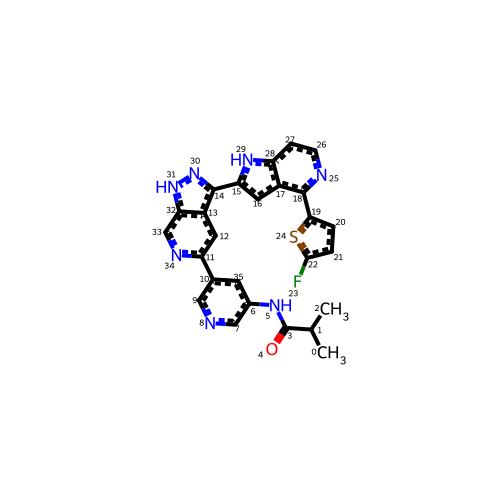 CC(C)C(=O)Nc1cncc(-c2cc3c(-c4cc5c(-c6ccc(F)s6)nccc5[nH]4)n[nH]c3cn2)c1